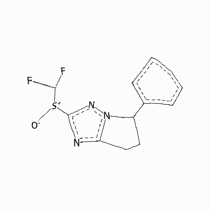 [O-][S+](c1nc2n(n1)C(c1ccccc1)CC2)C(F)F